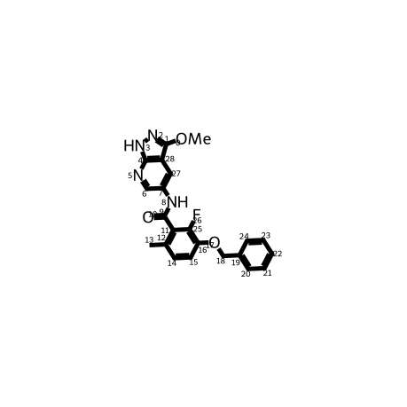 COc1n[nH]c2ncc(NC(=O)c3c(C)ccc(OCc4ccccc4)c3F)cc12